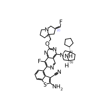 N#Cc1c(N)sc2cccc(-c3ncc4c(N5C[C@@H]6CC[C@](C7CCCC7)(C5)N6)nc(OC[C@@]56CCCN5C/C(=C\F)C6)nc4c3F)c12